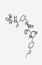 CCOc1ccc(-c2cncc(C(=O)N/N=C/c3cccc(C(=O)NC[SH](=O)=O)c3)n2)cc1